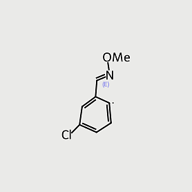 CO/N=C/c1[c]ccc(Cl)c1